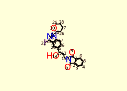 O=C1c2ccccc2C(=O)N1CCC(O)c1ccc2c(c1)c(I)nn2C1CCCCO1